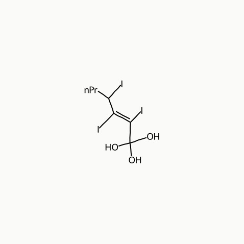 CCCC(I)C(I)=C(I)C(O)(O)O